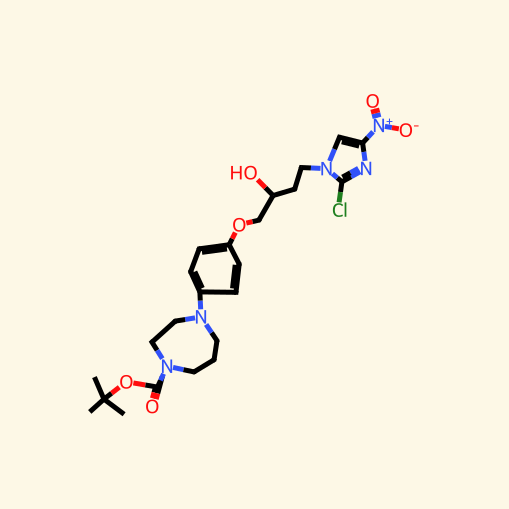 CC(C)(C)OC(=O)N1CCCN(c2ccc(OCC(O)CCn3cc([N+](=O)[O-])nc3Cl)cc2)CC1